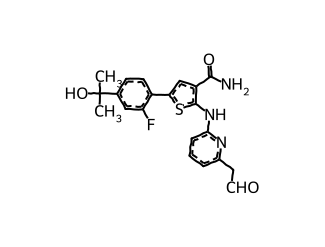 CC(C)(O)c1ccc(-c2cc(C(N)=O)c(Nc3cccc(CC=O)n3)s2)c(F)c1